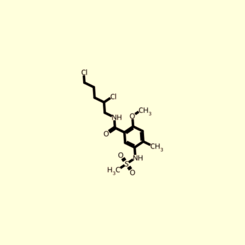 COc1cc(C)c(NS(C)(=O)=O)cc1C(=O)NCC(Cl)CCCCl